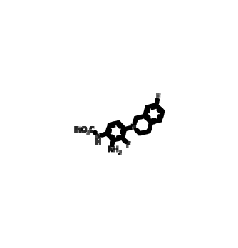 CCOC(=O)Nc1ccc(N2CCc3ccc(F)cc3C2)c(F)c1N